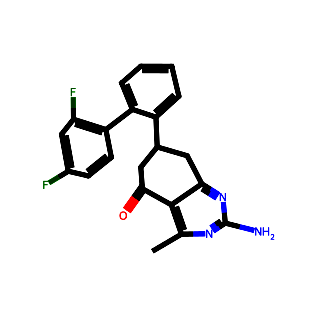 Cc1nc(N)nc2c1C(=O)CC(c1ccccc1-c1ccc(F)cc1F)C2